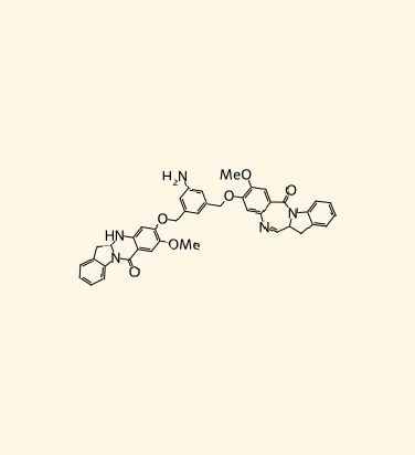 COc1cc2c(cc1OCc1cc(N)cc(COc3cc4c(cc3OC)C(=O)N3c5ccccc5CC3N4)c1)N=CC1Cc3ccccc3N1C2=O